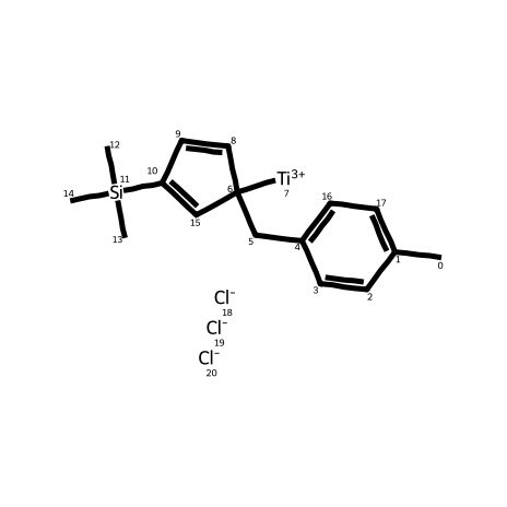 Cc1ccc(C[C]2([Ti+3])C=CC([Si](C)(C)C)=C2)cc1.[Cl-].[Cl-].[Cl-]